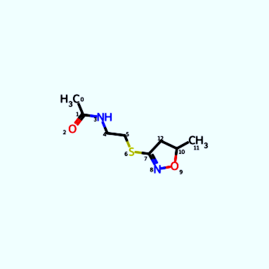 CC(=O)NCCSC1=NOC(C)C1